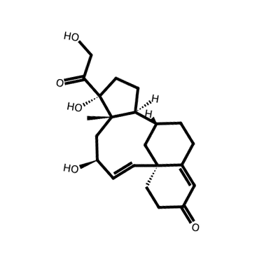 C[C@]12C[C@H](O)/C=C/[C@]34CCC(=O)C=C3CC[C@H](C4)[C@@H]1CC[C@]2(O)C(=O)CO